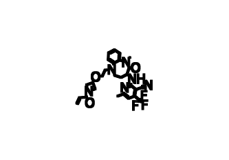 C=CC(=O)N1CC(OCCN2CC[C@H](Nc3nc(C)cc(C(F)(F)F)c3C#N)C(=O)N(C)c3ccccc32)C1